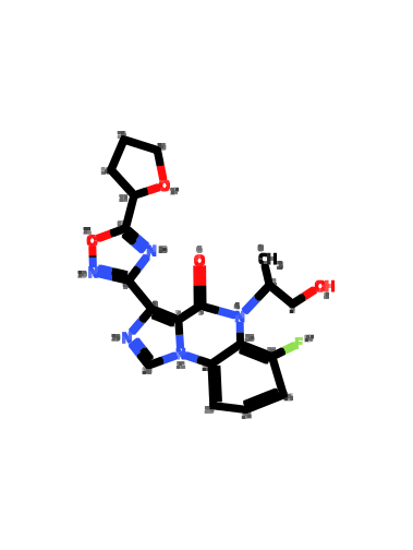 CC(CO)n1c(=O)c2c(-c3noc(C4CCCO4)n3)ncn2c2cccc(F)c21